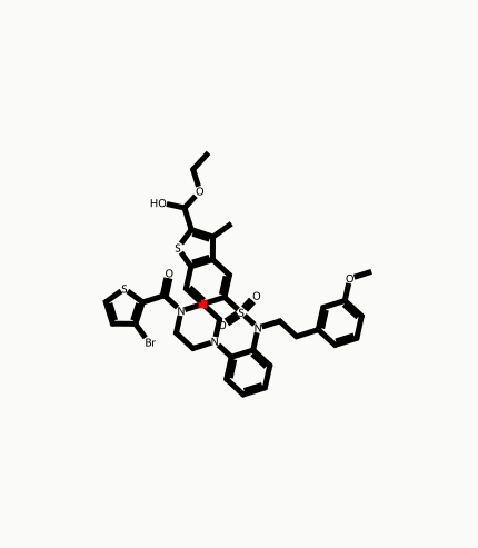 CCOC(O)c1sc2ccc(S(=O)(=O)N(CCc3cccc(OC)c3)c3ccccc3N3CCN(C(=O)c4sccc4Br)CC3)cc2c1C